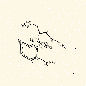 C=C.CCCCCC.Cc1ccccc1